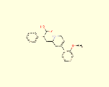 COc1ccccc1C1=CCNC(CC(C(=O)O)c2ccccc2)C1